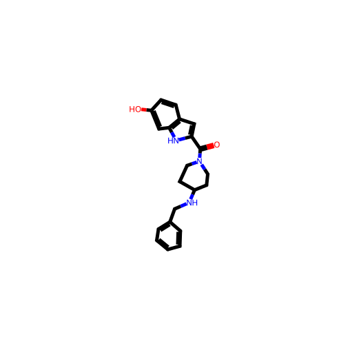 O=C(c1cc2ccc(O)cc2[nH]1)N1CCC(NCc2ccccc2)CC1